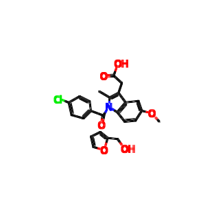 COc1ccc2c(c1)c(CC(=O)O)c(C)n2C(=O)c1ccc(Cl)cc1.OCc1ccco1